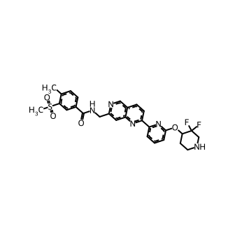 Cc1ccc(C(=O)NCc2cc3nc(-c4cccc(OC5CCNCC5(F)F)n4)ccc3cn2)cc1S(C)(=O)=O